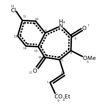 CCOC(=O)C=Cc1c(OC)c(=O)[nH]c2cc(Cl)ccc2c1=O